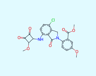 COC(=O)c1cc(OC)ccc1N1Cc2c(Cl)ccc(NC3C(=O)C(=O)C3OC)c2C1=O